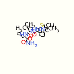 CC(C)(C)c1csc(N[C@H](C(=O)N2C[C@@H]3C([C@H]2C(=O)NC(CC2CCC2)C(=O)C(N)=O)C3(C)C)C2CCCCC2)n1